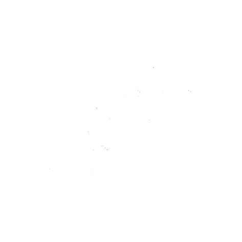 Cc1noc(C(C)C)c1C(=O)Nc1ccc(F)c(S(=O)(=O)Nc2ccc(Cl)cc2)c1